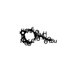 C[C@@H]1COc2ccccc2-c2cncc(c2)S(=O)(=O)CCCC[C@H](NC(=O)CCNC(=O)OC(C)(C)C)C(=O)N1